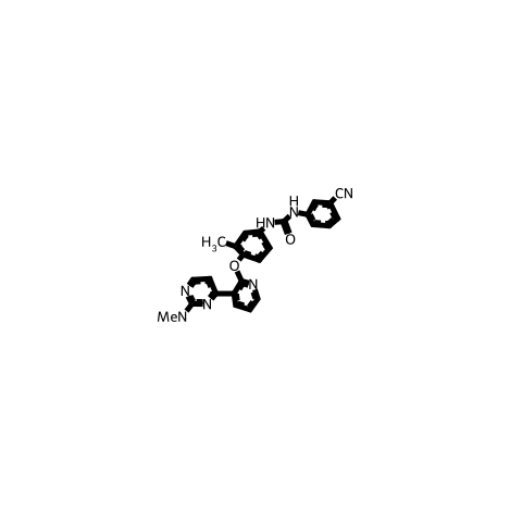 CNc1nccc(-c2cccnc2Oc2ccc(NC(=O)Nc3cccc(C#N)c3)cc2C)n1